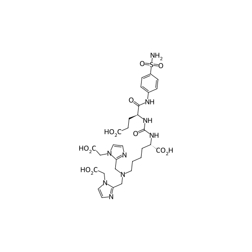 NS(=O)(=O)c1ccc(NC(=O)[C@H](CCC(=O)O)NC(=O)N[C@@H](CCCCN(Cc2nccn2CC(=O)O)Cc2nccn2CC(=O)O)C(=O)O)cc1